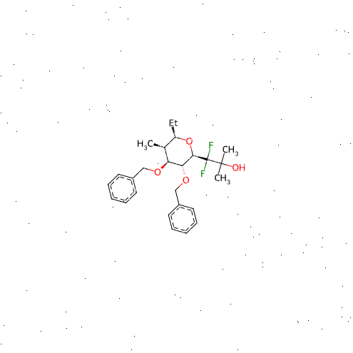 CC[C@H]1O[C@@H](C(F)(F)C(C)(C)O)[C@H](OCc2ccccc2)[C@@H](OCc2ccccc2)[C@H]1C